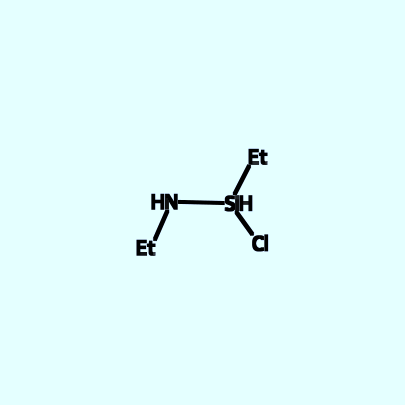 CCN[SiH](Cl)CC